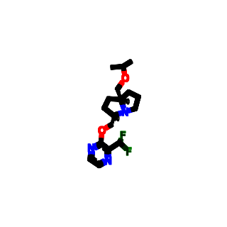 CC(C)OC[C@@]12CCCN1[C@H](COc1nccnc1C(F)F)CC2